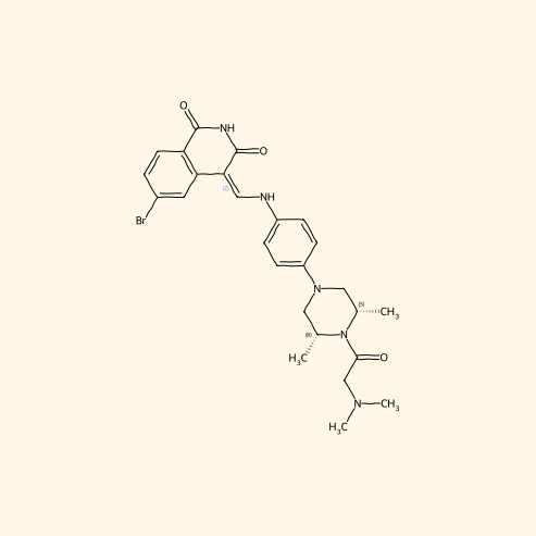 C[C@@H]1CN(c2ccc(N/C=C3\C(=O)NC(=O)c4ccc(Br)cc43)cc2)C[C@H](C)N1C(=O)CN(C)C